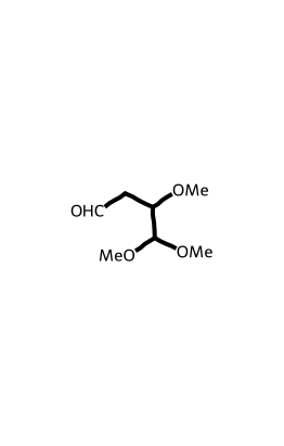 COC(CC=O)C(OC)OC